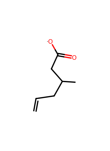 C=CCC(C)CC([O])=O